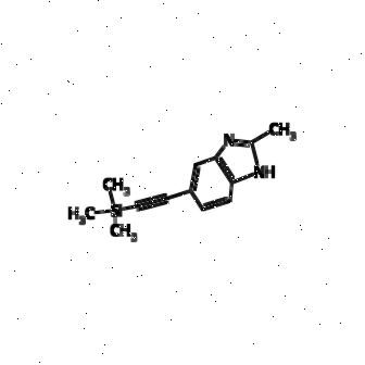 Cc1nc2cc(C#C[Si](C)(C)C)ccc2[nH]1